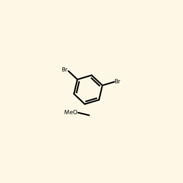 Brc1cccc(Br)c1.COC